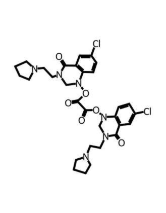 O=C(ON1CN(CCN2CCCC2)C(=O)c2cc(Cl)ccc21)C(=O)ON1CN(CCN2CCCC2)C(=O)c2cc(Cl)ccc21